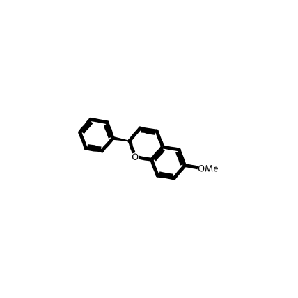 COc1ccc2c(c1)C=C[C@H](c1ccccc1)O2